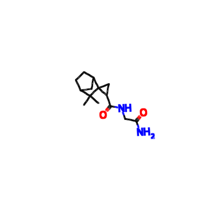 CC1(C)C2CCC(C2)C12CC2C(=O)NCC(N)=O